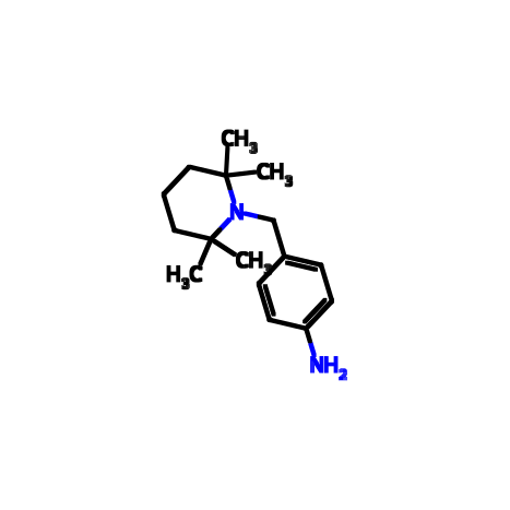 CC1(C)CCCC(C)(C)N1Cc1ccc(N)cc1